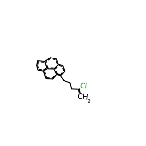 C=C(Cl)CCCc1ccc2ccc3cccc4ccc1c2c34